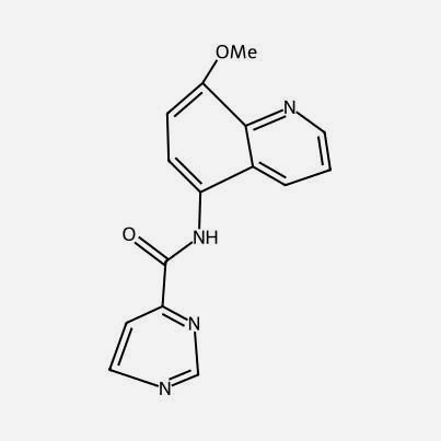 COc1ccc(NC(=O)c2ccncn2)c2cccnc12